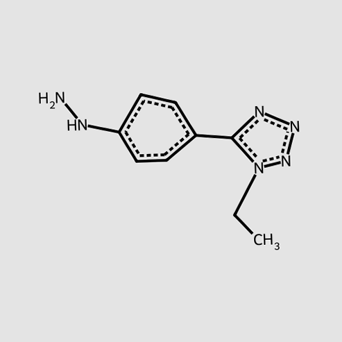 CCn1nnnc1-c1ccc(NN)cc1